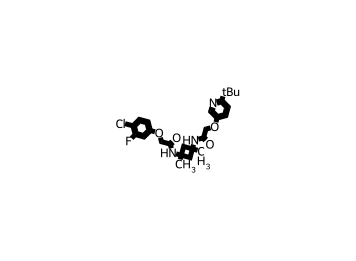 CC1(NC(=O)COc2ccc(C(C)(C)C)nc2)CC(C)(NC(=O)COc2ccc(Cl)c(F)c2)C1